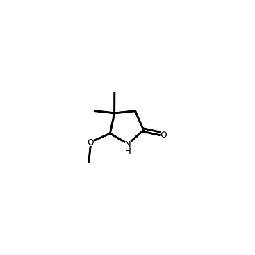 COC1NC(=O)CC1(C)C